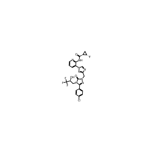 O=C(Nc1ncccc1-n1cnc(Cn2nc(-c3ccc(Cl)cc3)n(C[C@H](O)C(F)(F)F)c2=O)n1)[C@H]1C[C@@H]1F